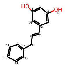 Oc1cc(O)cc(/C=C/Cc2ccccc2)c1